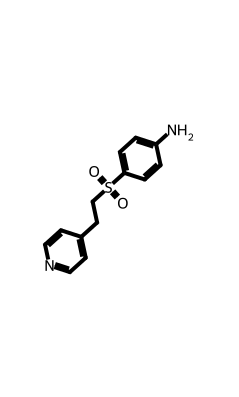 Nc1ccc(S(=O)(=O)CCc2ccncc2)cc1